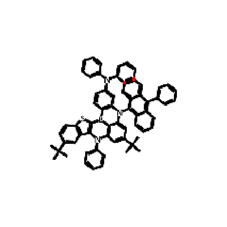 CC(C)(C)c1cc2c3c(c1)N(c1c4ccccc4c(-c4ccccc4)c4ccccc14)c1cc(N(c4ccccc4)c4ccccc4)ccc1B3c1sc3ccc(C(C)(C)C)cc3c1N2c1ccccc1